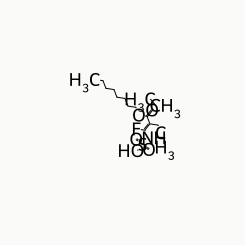 CC.CCCCCCCCOC(=O)C(CC)=C(F)NS(=O)(=O)O